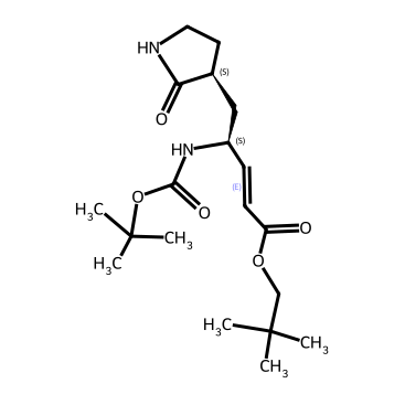 CC(C)(C)COC(=O)/C=C/[C@H](C[C@@H]1CCNC1=O)NC(=O)OC(C)(C)C